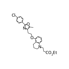 CCOC(=O)CCN1CCCc2c(OCCc3nc(-c4ccc(Cl)cc4)oc3C)cccc21